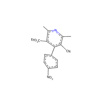 CCOC(=O)c1c(C)nc(C)c(C#N)c1-c1ccc([N+](=O)[O-])cc1